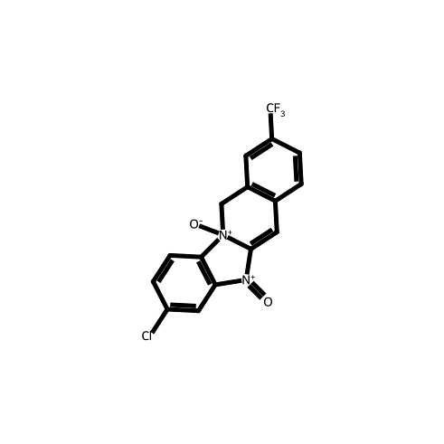 O=[N+]1C2=Cc3ccc(C(F)(F)F)cc3C[N+]2([O-])c2ccc(Cl)cc21